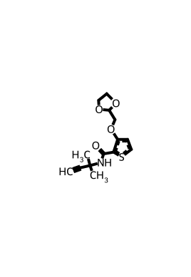 C#CC(C)(C)NC(=O)c1sccc1OCC1OCCO1